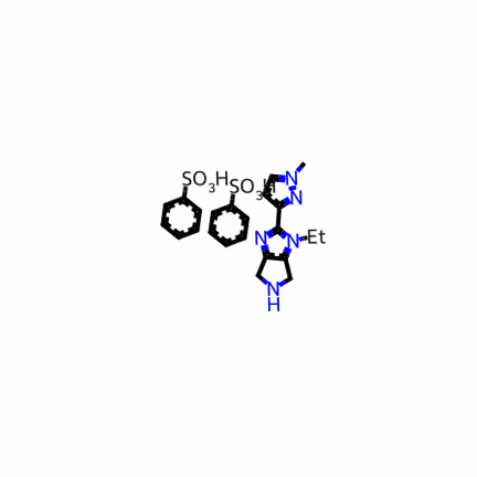 CCn1c(-c2ccn(C)n2)nc2c1CNC2.O=S(=O)(O)c1ccccc1.O=S(=O)(O)c1ccccc1